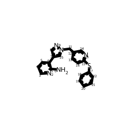 Nc1ncccc1-c1cnn(Cc2ccc(Sc3ccccc3)nc2)c1